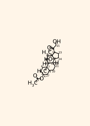 CC(=O)OC1CC[C@@]2(C)C(CC[C@@H]3[C@@H]2CC[C@]2(C)[C@@H](C(=O)CO)CC[C@]32O)C1